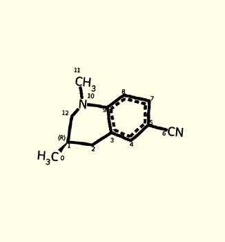 C[C@@H]1Cc2cc(C#N)ccc2N(C)C1